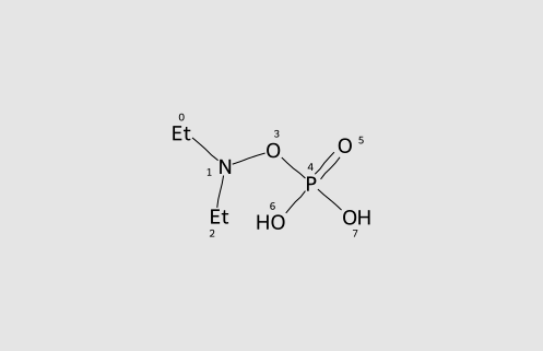 CCN(CC)OP(=O)(O)O